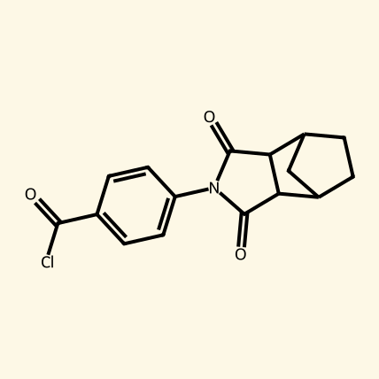 O=C(Cl)c1ccc(N2C(=O)C3C4CCC(C4)C3C2=O)cc1